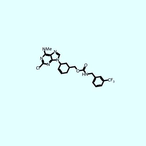 CNc1nc(Cl)nc2c1ncn2C1C=CCC(COC(=O)NCc2cccc(C(F)(F)F)c2)C1